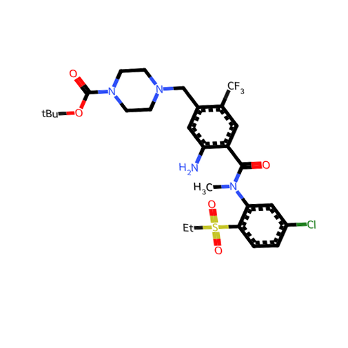 CCS(=O)(=O)c1ccc(Cl)cc1N(C)C(=O)c1cc(C(F)(F)F)c(CN2CCN(C(=O)OC(C)(C)C)CC2)cc1N